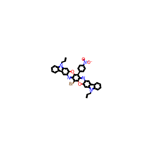 C=CCn1c2ccccc2c2cc3c(cc21)Oc1c(-c2ccc([N+](=O)[O-])cc2)c2c(c(Br)c1=N3)Oc1cc3c(cc1N=2)c1ccccc1n3CC=C